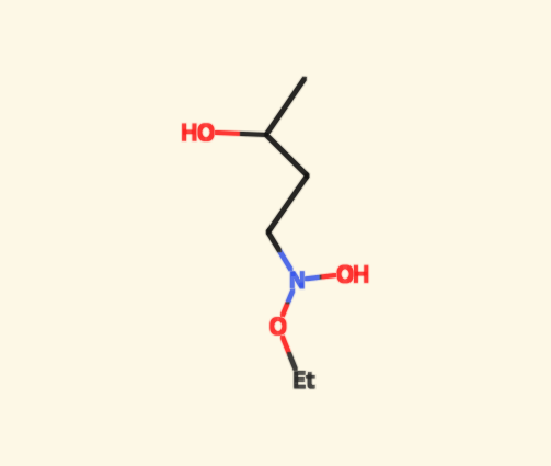 CCON(O)CCC(C)O